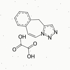 C1=Cn2nncc2Cc2ccccc21.O=C(O)C(=O)O